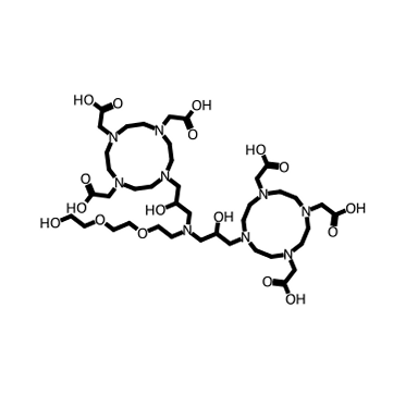 O=C(O)CN1CCN(CC(=O)O)CCN(CC(O)CN(CCOCCOCCO)CC(O)CN2CCN(CC(=O)O)CCN(CC(=O)O)CCN(CC(=O)O)CC2)CCN(CC(=O)O)CC1